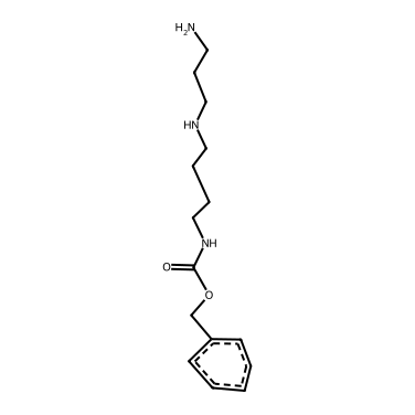 NCCCNCCCCNC(=O)OCc1ccccc1